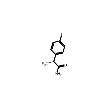 C[C@@H](C(N)=O)c1ccc(F)cc1